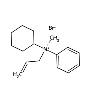 C=CC[N@+](C)(c1ccccc1)C1CCCCC1.[Br-]